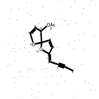 CC#C/C=C1\C=CC2(OC=CC2OC(C)=O)O1